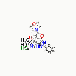 CC1(C)N=CC2=C(C1=O)C(CCN1CCOCC1)C(=O)c1nc(-c3ccccc3)[nH]c12.Cl